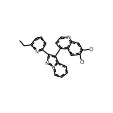 CCc1cccc(-c2nn3ccccc3c2-c2ccnc3cc(Cl)c(Cl)cc23)n1